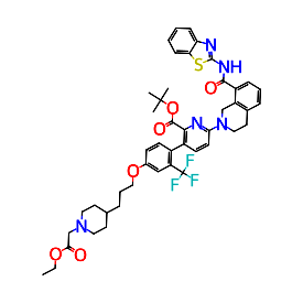 CCOC(=O)CN1CCC(CCCOc2ccc(-c3ccc(N4CCc5cccc(C(=O)Nc6nc7ccccc7s6)c5C4)nc3C(=O)OC(C)(C)C)c(C(F)(F)F)c2)CC1